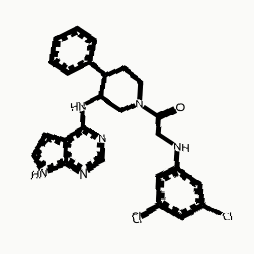 O=C(CNc1cc(Cl)cc(Cl)c1)N1CCC(c2ccccc2)C(Nc2ncnc3[nH]ccc23)C1